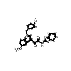 COc1ccc2c(c1)c(C(=O)C(=O)Nc1nc3ccccc3o1)cn2Cc1ccc(Cl)cc1